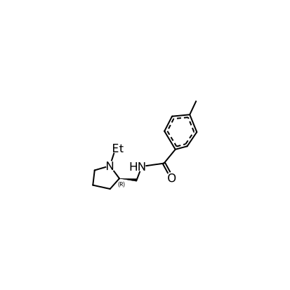 CCN1CCC[C@@H]1CNC(=O)c1ccc(C)cc1